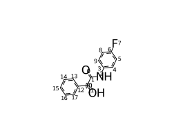 O=C(Nc1ccc(F)cc1)[C@H](O)c1ccccc1